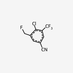 N#Cc1cc(CF)c(Cl)c(C(F)(F)F)c1